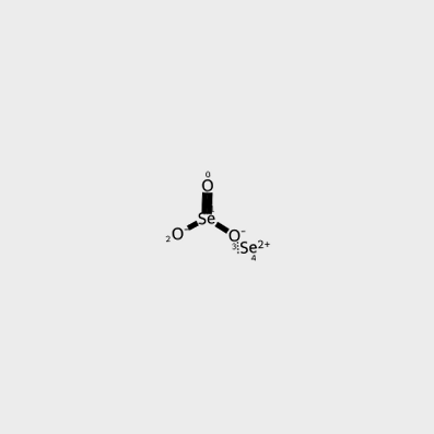 O=[Se]([O-])[O-].[Se+2]